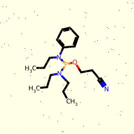 CCCN(CCC)P(OCCC#N)N(CCC)c1ccccc1